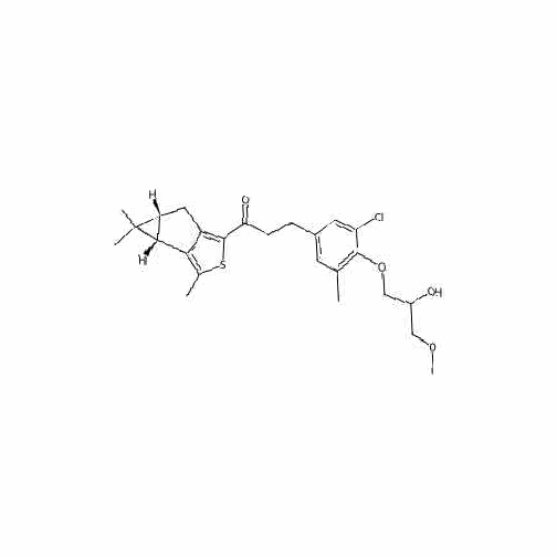 COCC(O)COc1c(C)cc(CCC(=O)c2sc(C)c3c2C[C@@H]2[C@H]3C2(C)C)cc1Cl